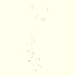 CC(C)C[C@@H](NC(=O)CCC(=O)O[C@H]1CC[C@@]2(C)C(=CC[C@@H]3[C@@H]2CC[C@]2(C)C(c4cccnc4)=CC[C@@H]32)C1)C(=O)OC(C)(C)C